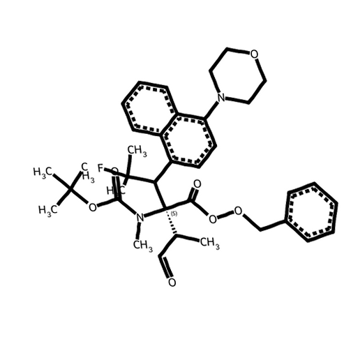 CC(C=O)[C@@](C(=O)OOCc1ccccc1)(C(c1ccc(N2CCOCC2)c2ccccc12)C(C)(C)F)N(C)C(=O)OC(C)(C)C